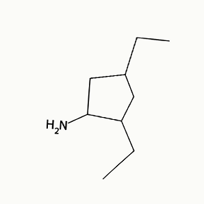 CCC1CC(N)C(CC)C1